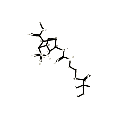 CCC(C)(C)C(=O)OCCOC(=O)OC1C2CC3C1OS(=O)(=O)C3C2C(=O)OC